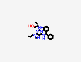 CCCN1C=NC2C(NC(c3ccccc3)c3ccccc3)=NC(N[C@H](CC)CO)=NC21